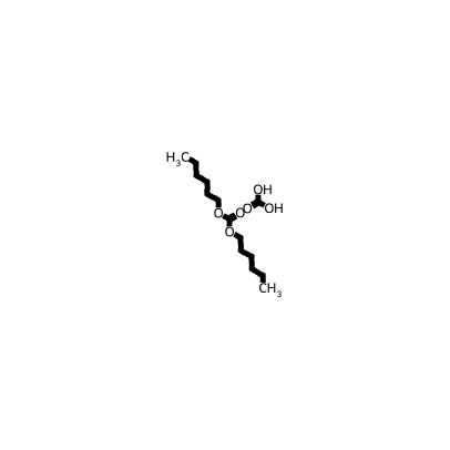 CCCCCCOC(=O)OCCCCCC.O=C(O)O